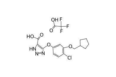 O=C(O)C(F)(F)F.O=C(O)c1[nH]nnc1Oc1ccc(Cl)c(OCC2CCCC2)c1